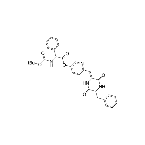 CC(C)(C)OC(=O)NC(C(=O)Oc1ccc(/C=C2\NC(=O)C(Cc3ccccc3)NC2=O)nc1)c1ccccc1